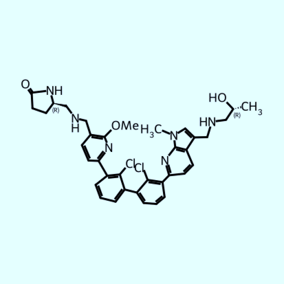 COc1nc(-c2cccc(-c3cccc(-c4ccc5c(CNC[C@@H](C)O)cn(C)c5n4)c3Cl)c2Cl)ccc1CNC[C@H]1CCC(=O)N1